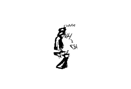 COc1ccc2c(c1)[C@@H](N)C1(CCN(c3nc(C)c(-c4ccccc4F)n4nccc34)CC1)C2.Cl